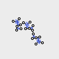 c1ccc(-c2nc(-c3ccccc3)nc(-n3c4ccccc4c4cc5c(cc43)c3ccccc3n5-c3ccc(-c4ccc5c(c4)c4cc6c7ccccc7n(-c7nc(-c8ccccc8)nc(-c8cccc(-c9ccc%10c%11c(ccc%12c%13ccccc%13n(-c%13ccccc%13)c%12%11)n(-c%11nc(-c%12ccccc%12)nc(-c%12ccccc%12)n%11)c%10c9)c8)n7)c6cc4n5-c4ccccc4)cc3)n2)cc1